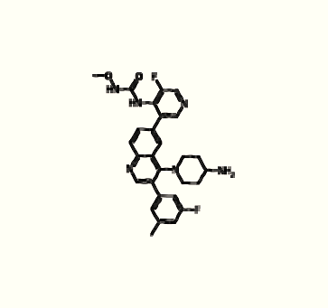 CONC(=O)Nc1c(F)cncc1-c1ccc2ncc(-c3cc(C)cc(F)c3)c(N3CCC(N)CC3)c2c1